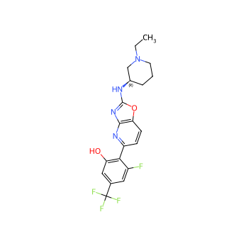 CCN1CCC[C@@H](Nc2nc3nc(-c4c(O)cc(C(F)(F)F)cc4F)ccc3o2)C1